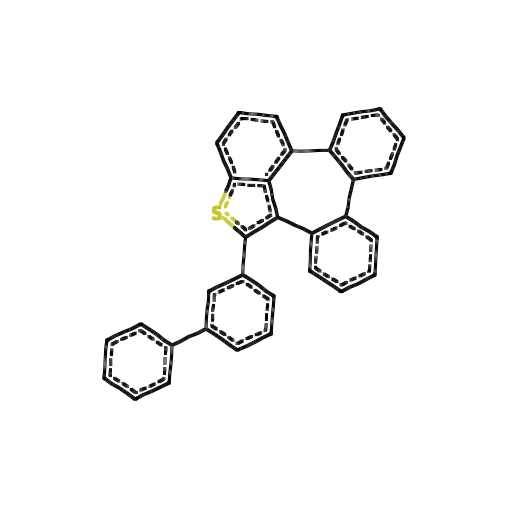 c1ccc(-c2cccc(-c3sc4cccc5c4c3-c3ccccc3-c3ccccc3-5)c2)cc1